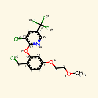 COCCOc1ccc(CCl)c(Oc2ncc(C(F)(F)F)cc2Cl)c1